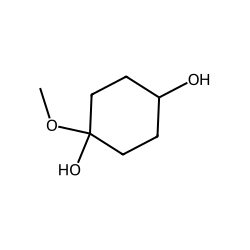 COC1(O)CCC(O)CC1